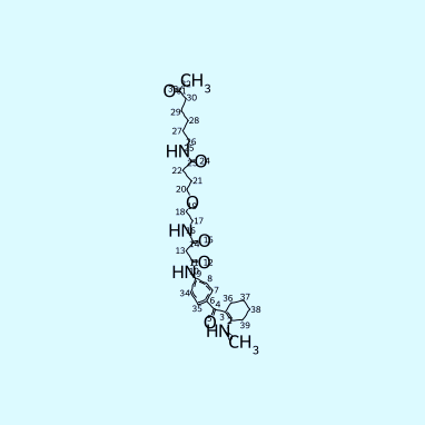 CNC1=C(C(=O)c2ccc(NC(=O)CC(=O)NCCOCCCC(=O)NCCCCCC(C)=O)cc2)CCCC1